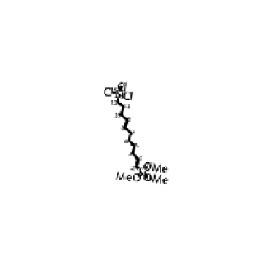 CO[Si](CCCCCCCCCCC[Si](Cl)(Cl)Cl)(OC)OC